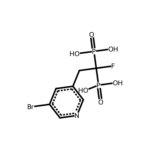 O=P(O)(O)C(F)(Cc1cncc(Br)c1)P(=O)(O)O